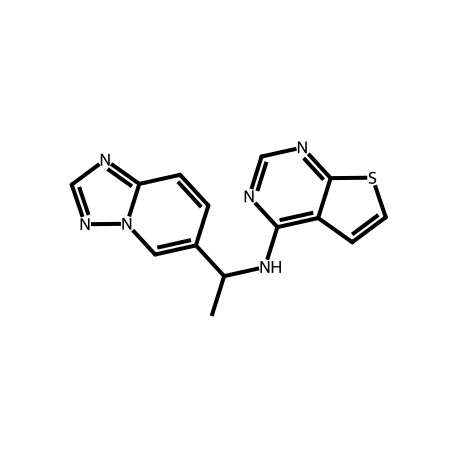 CC(Nc1ncnc2sccc12)c1ccc2ncnn2c1